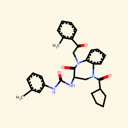 Cc1cccc(NC(=O)NC2CN(C(=O)C3CCCC3)c3ccccc3N(CC(=O)c3ccccc3C)C2=O)c1